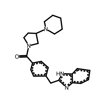 O=C(c1ccc(Cc2nc3ccccc3[nH]2)cc1)N1CCC(N2CCCCC2)C1